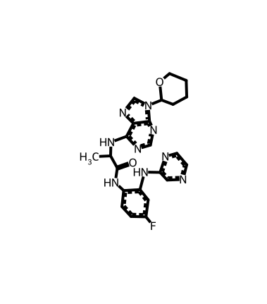 CC(Nc1ncnc2c1ncn2C1CCCCO1)C(=O)Nc1ccc(F)cc1Nc1cnccn1